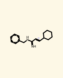 N=C(/C=C/C1CCCCC1)NCc1ccccc1